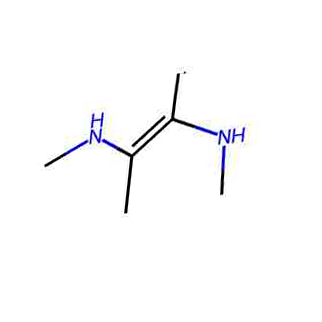 [CH2]C(NC)=C(C)NC